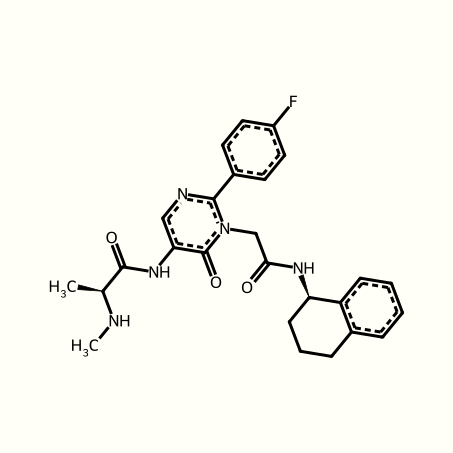 CN[C@@H](C)C(=O)Nc1cnc(-c2ccc(F)cc2)n(CC(=O)N[C@@H]2CCCc3ccccc32)c1=O